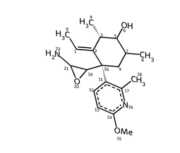 C/C=C1\[C@H](C)C(O)C(C)C[C@@]1(c1ccc(OC)nc1C)C1OC1N